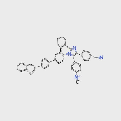 [C-]#[N+]c1ccc(-c2c(-c3ccc(C#N)cc3)nc3c4ccccc4c4cc(-c5ccc(-c6ccc7ccccc7c6)cc5)ccc4n23)cc1